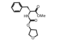 COC(=O)[C@H](Cc1ccccc1)NC(=O)OC1CCOC1